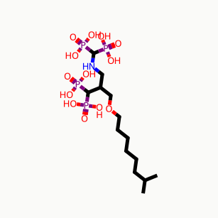 CC(C)CCCCCCOCC(CNC(P(=O)(O)O)P(=O)(O)O)C(P(=O)(O)O)P(=O)(O)O